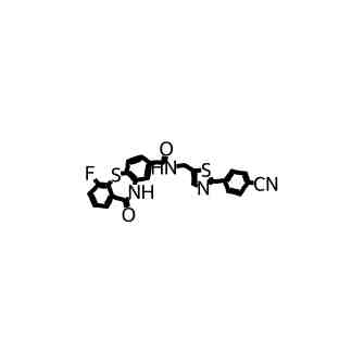 N#Cc1ccc(-c2ncc(CNC(=O)c3ccc4c(c3)NC(=O)c3cccc(F)c3S4)s2)cc1